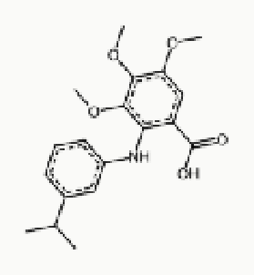 COc1cc(C(=O)O)c(Nc2cccc(C(C)C)c2)c(OC)c1OC